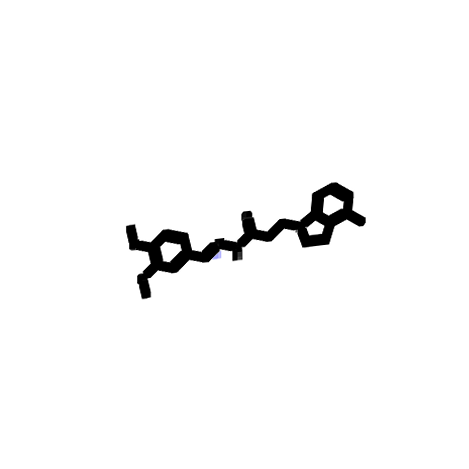 COc1ccc(/C=N/NC(=O)CCn2ccc3c(C)cccc32)cc1OC